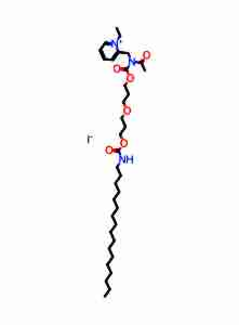 CCCCCCCCCCCCCCCCCNC(=O)OCCCOCCCOC(=O)N(Cc1cccc[n+]1CC)C(C)=O.[I-]